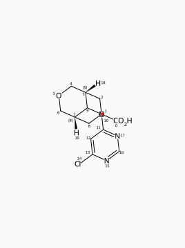 O=C(O)N1C[C@H]2COC[C@@H](C1)C2Oc1cc(Cl)ncn1